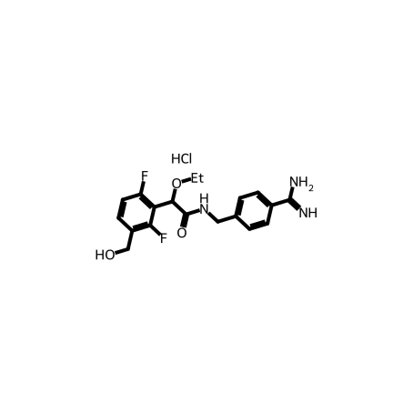 CCOC(C(=O)NCc1ccc(C(=N)N)cc1)c1c(F)ccc(CO)c1F.Cl